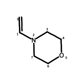 [CH]=CN1CCOCC1